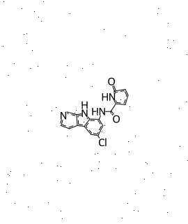 O=C(Nc1cc(Cl)cc2c1[nH]c1cnccc12)c1cccc(=O)[nH]1